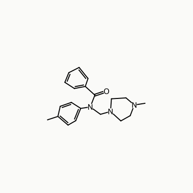 Cc1ccc(N(CN2CCN(C)CC2)C(=O)c2ccccc2)cc1